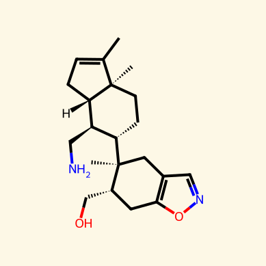 CC1=CC[C@H]2[C@H](CN)[C@@H]([C@@]3(C)Cc4cnoc4C[C@@H]3CO)CC[C@]12C